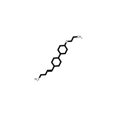 CCCC=CC1CCC(C2CCC(OCCC)CC2)CC1